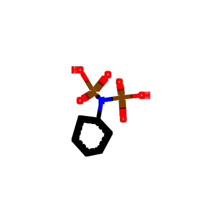 O=S(=O)(O)N(c1ccccc1)S(=O)(=O)O